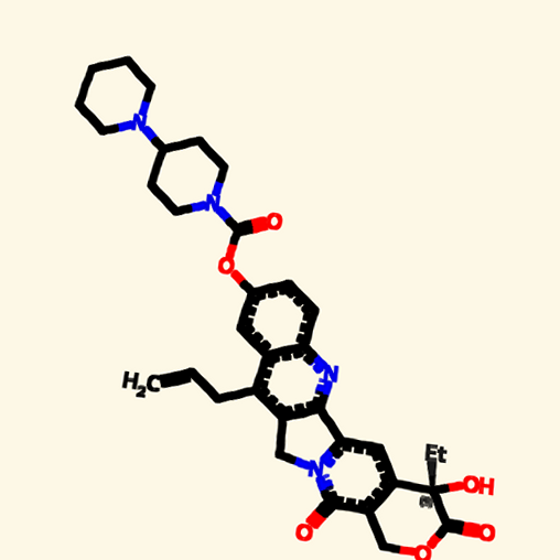 C=CCc1c2c(nc3ccc(OC(=O)N4CCC(N5CCCCC5)CC4)cc13)-c1cc3c(c(=O)n1C2)COC(=O)[C@]3(O)CC